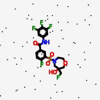 O=C(Nc1cc(F)c(F)c(F)c1)c1ccc(F)c(S(=O)(=O)N2CCOCC(O)(CF)C2)c1